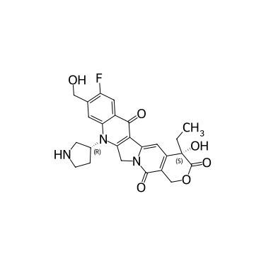 CC[C@@]1(O)C(=O)OCc2c1cc1n(c2=O)Cc2c-1c(=O)c1cc(F)c(CO)cc1n2[C@@H]1CCNC1